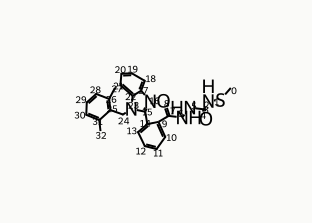 CSNC(=O)NNC(=O)c1ccccc1-c1nc2ccccc2n1Cc1c(C)cccc1C